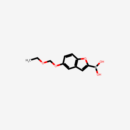 CCOCOc1ccc2oc(B(O)O)cc2c1